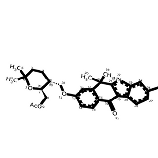 CC(=O)OC[C@H]1OC(C)(C)CC[C@@H]1COc1ccc2c(c1)C(C)(C)c1[nH]c3cc(Br)ccc3c1C2=O